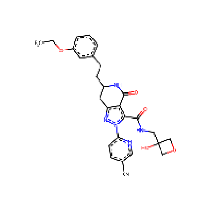 N#Cc1ccc(-n2nc3c(c2C(=O)NCC2(O)COC2)C(=O)NC(CCc2cccc(OCC(F)(F)F)c2)C3)nc1